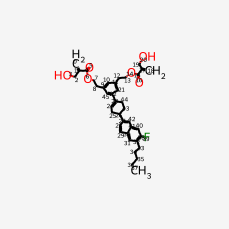 C=C(CO)C(=O)OCCc1cc(CCOC(=O)C(=C)CO)cc(C2=CCC(c3ccc4cc(CCCCC)c(F)cc4c3)CC2)c1